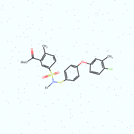 CCN(Sc1ccc(Oc2ccc(F)c(C)c2)cc1)S(=O)(=O)c1ccc(C)c(C(=O)OC)c1